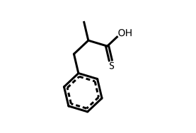 CC(Cc1ccccc1)C(O)=S